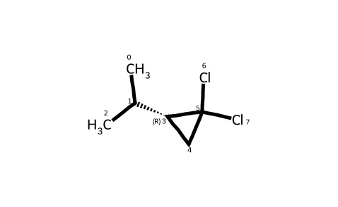 CC(C)[C@H]1CC1(Cl)Cl